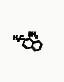 Bc1c(C)ccc2ccccc12